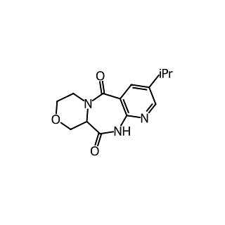 CC(C)c1cnc2c(c1)C(=O)N1CCOCC1C(=O)N2